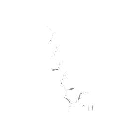 CCCCCOC(=O)CCc1cc(C)c(O)c(C)c1